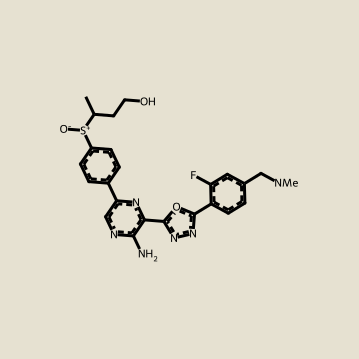 CNCc1ccc(-c2nnc(-c3nc(-c4ccc([S+]([O-])C(C)CCO)cc4)cnc3N)o2)c(F)c1